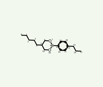 CCCCCC1COB(c2ccc(CCC)cc2)OC1